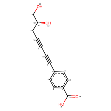 O=C(O)c1ccc(C#CC#CC[C@H](O)CO)cc1